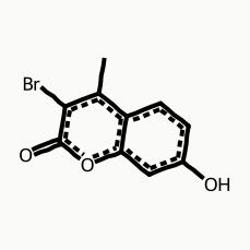 Cc1c(Br)c(=O)oc2cc(O)ccc12